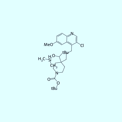 COc1ccc2ncc(Cl)c(CCCC3(C(O[SiH](C)C)C(C)(C)C)CCN(C(=O)OC(C)(C)C)CC3)c2c1